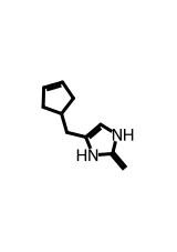 C=C1NC=C(CC2CC=CC2)N1